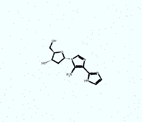 Nc1c(-c2ncc[nH]2)ncn1[C@@H]1C[C@H](O)[C@@H](CO)O1